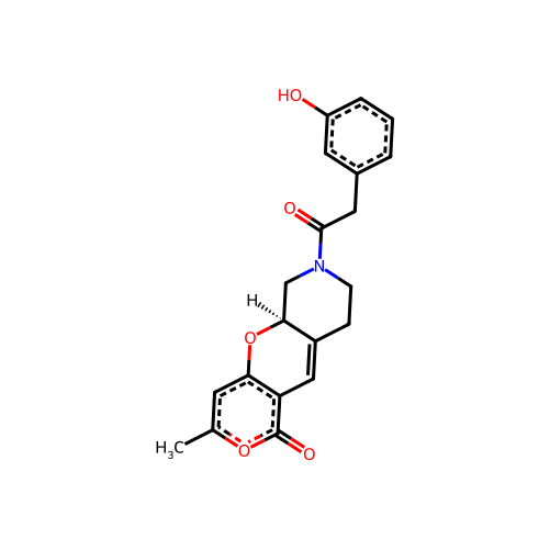 Cc1cc2c(c(=O)o1)C=C1CCN(C(=O)Cc3cccc(O)c3)C[C@@H]1O2